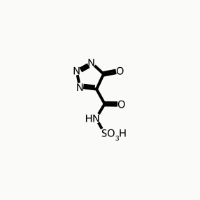 O=C1N=NN=C1C(=O)NS(=O)(=O)O